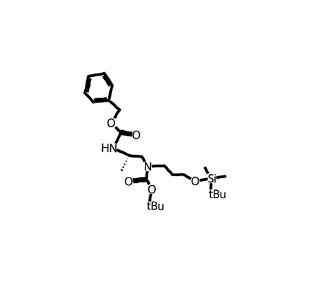 C[C@@H](CN(CCCO[Si](C)(C)C(C)(C)C)C(=O)OC(C)(C)C)NC(=O)OCc1ccccc1